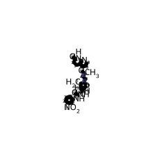 C=C1/C(=C\C=C(/C)Oc2ccnc3c2CCC(=O)N3)O[C@@H]2[C@@H](NC(=O)Nc3cccc([N+](=O)[O-])c3)[C@H]12